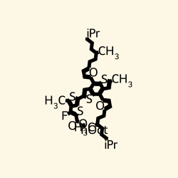 CCCCCCCCOC(=O)c1sc2c(-c3cc4c(-c5ccc(CCC(C)CCCC(C)C)o5)c5sc(C)cc5c(-c5ccc(CCC(C)CCCC(C)C)o5)c4s3)sc(C)c2c1F